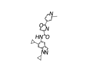 Cc1cc(-c2nc(C(=O)Nc3cc4cnn(C5CC5)c4cc3C3CC3)co2)ccn1